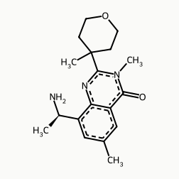 Cc1cc([C@@H](C)N)c2nc(C3(C)CCOCC3)n(C)c(=O)c2c1